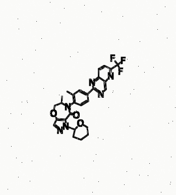 Cc1cc(-c2ncc3nc(C(F)(F)F)ccc3n2)ccc1N1C(=O)c2c(cnn2C2CCCCO2)OCC1C